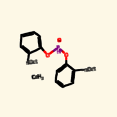 CCCCCCCCc1ccccc1O[PH](=O)Oc1ccccc1CCCCCCCC.[CaH2]